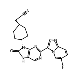 N#CC[C@H]1CC[C@H](n2c(=O)[nH]c3cnc(-c4cnc5ccc(F)cn45)nc32)CC1